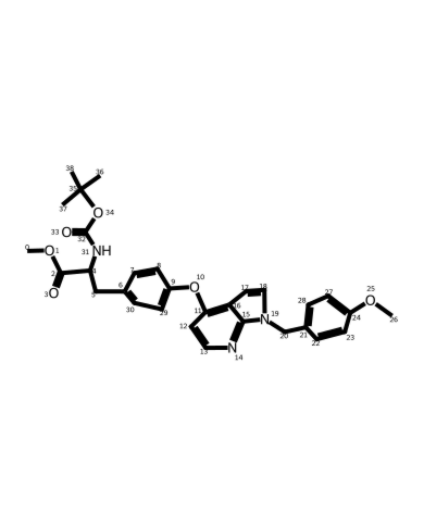 COC(=O)C(Cc1ccc(Oc2ccnc3c2ccn3Cc2ccc(OC)cc2)cc1)NC(=O)OC(C)(C)C